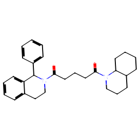 O=C(CCCC(=O)N1CCCC2CCCCC21)N1CCc2ccccc2C1c1ccccc1